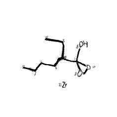 CCCCC(CC)C1(O)OO1.[Zr]